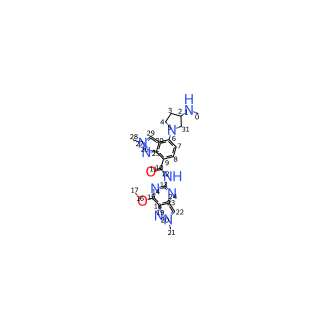 CNC1CCN(c2ccc(C(=O)Nc3nc(OC)c4nn(C)cc4n3)c3nn(C)cc23)C1